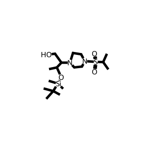 CC(O[Si](C)(C)C(C)(C)C)C(CO)N1CCN(S(=O)(=O)C(C)C)CC1